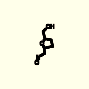 O=NCC1CCC(CO)O1